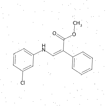 COC(=O)C(=CNc1cccc(Cl)c1)c1ccccc1